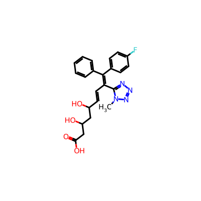 Cn1nnnc1C(/C=C/C(O)CC(O)CC(=O)O)=C(/c1ccccc1)c1ccc(F)cc1